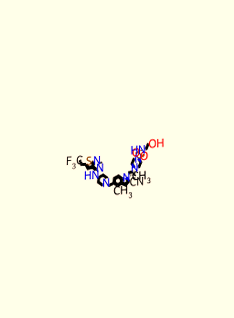 Cc1c(CN2CCC(Nc3ncnc4sc(CC(F)(F)F)cc34)CC2)ccc2c1cc(C#N)n2C[C@H](C)N1CCN(S(=O)(=O)NCCO)CC1